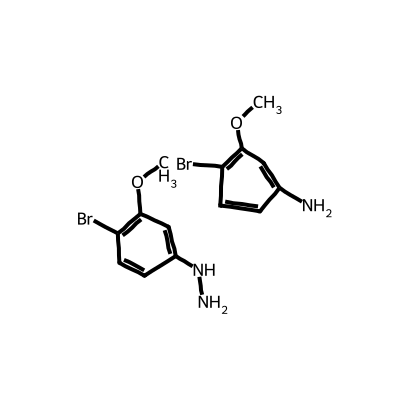 COc1cc(N)ccc1Br.COc1cc(NN)ccc1Br